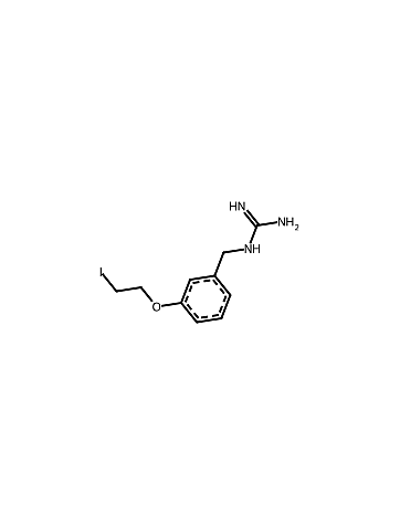 N=C(N)NCc1cccc(OCCI)c1